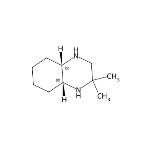 CC1(C)CN[C@H]2CCCC[C@H]2N1